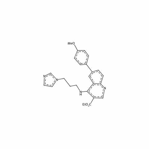 CCOC(=O)c1cnc2ccc(-c3ccc(OC)cc3)cc2c1NCCCn1ccnc1